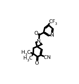 CC1(C)CC2(C=C(C#N)C1=O)CN(C(=O)c1cncc(C(F)(F)F)c1)C2